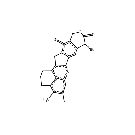 CCC1C(=O)OCc2c1cc1n(c2=O)Cc2c-1nc1cc(F)c(C)c3c1c2CCC3